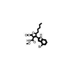 CCCCCC1OC(=C=O)C(C(=O)NOC)=C1c1cc2c(Br)cccc2[nH]1